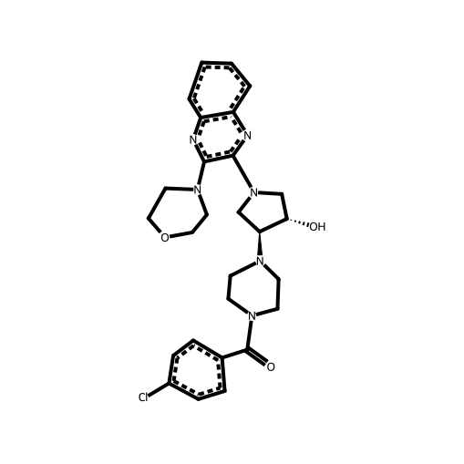 O=C(c1ccc(Cl)cc1)N1CCN([C@H]2CN(c3nc4ccccc4nc3N3CCOCC3)C[C@@H]2O)CC1